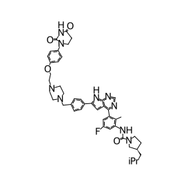 Cc1c(NC(=O)N2CC[C@@H](CC(C)C)C2)cc(F)cc1-c1ncnc2[nH]c(-c3ccc(CN4CCN(CCOc5ccc(N6CCC(=O)NC6=O)cc5)CC4)cc3)cc12